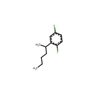 [CH2]C(CCCC)c1cc(F)ccc1F